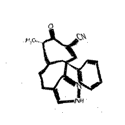 C[C@@H]1C(=O)C(C#N)=C[C@]2(c3ccccc3)c3n[nH]cc3CCC12